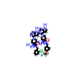 NC1(C(=O)NCc2ccc(OC(F)(F)F)cc2)CCN(c2ncnc3[nH]ccc23)CC1.NC1(C(=O)NCc2ccccc2Cl)CCN(c2ncnc3[nH]ccc23)CC1